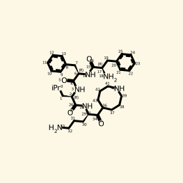 CC(C)C[C@@H](NC(=O)[C@@H](Cc1ccccc1)NC(=O)[C@H](N)Cc1ccccc1)C(=O)N[C@H](CCCN)C(=O)C1CCCNCCC1